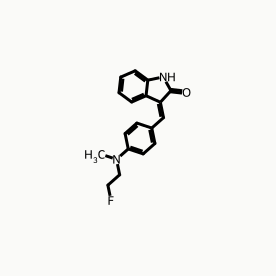 CN(CCF)c1ccc(/C=C2/C(=O)Nc3ccccc32)cc1